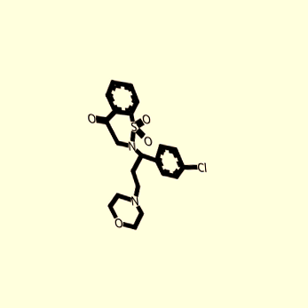 O=C1CN(C(CCN2CCOCC2)c2ccc(Cl)cc2)S(=O)(=O)c2ccccc21